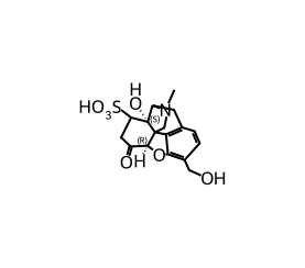 CN1CCC23c4c5ccc(CO)c4O[C@H]2C(=O)CC(S(=O)(=O)O)[C@@]3(O)C1C5